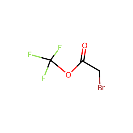 O=C(CBr)OC(F)(F)F